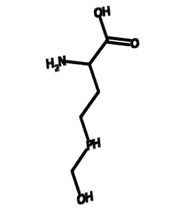 NC(CCPCO)C(=O)O